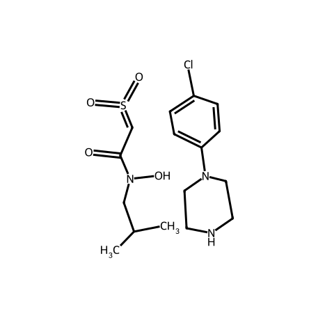 CC(C)CN(O)C(=O)C=S(=O)=O.Clc1ccc(N2CCNCC2)cc1